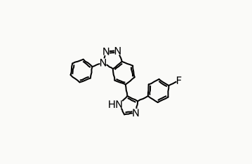 Fc1ccc(-c2nc[nH]c2-c2ccc3nnn(-c4ccccc4)c3c2)cc1